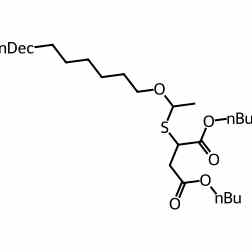 CCCCCCCCCCCCCCCCOC(C)SC(CC(=O)OCCCC)C(=O)OCCCC